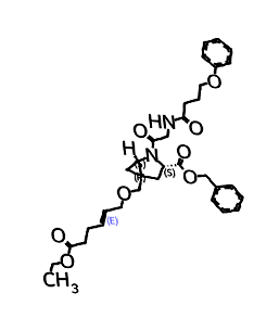 CCOC(=O)CC/C=C/COC[C@@]12C[C@@H]1N(C(=O)CNC(=O)CCCOc1ccccc1)[C@H](C(=O)OCc1ccccc1)C2